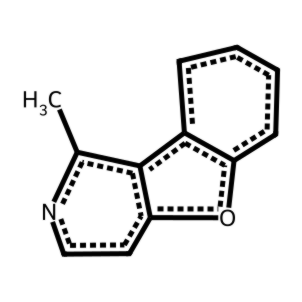 Cc1nccc2oc3ccccc3c12